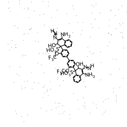 [H]/N=N/C1=C(N)c2ccccc2C(c2ccc(-c3ccc(C4(S(=O)(=O)O)c5ccccc5C(N)=C(/N=N/[H])C4O)c(OC(F)(F)F)c3)cc2OC(F)(F)F)(S(=O)(=O)O)C1O